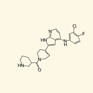 O=C(C1CCCNC1)N1CC=C(c2cc3c(Nc4ccc(F)c(Cl)c4)ccnc3[nH]2)CC1